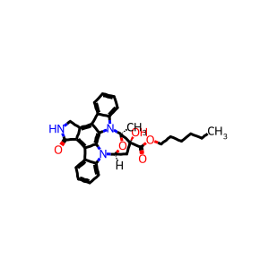 CCCCCCOC(=O)[C@]1(O)C[C@@H]2O[C@@]1(C)n1c3ccccc3c3c4c(c5c6ccccc6n2c5c31)C(=O)NC4